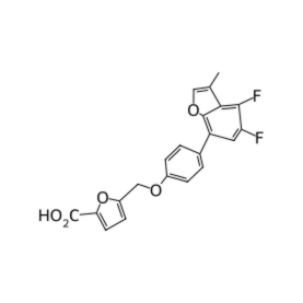 Cc1coc2c(-c3ccc(OCc4ccc(C(=O)O)o4)cc3)cc(F)c(F)c12